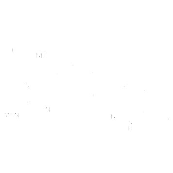 CCCNc1nc(NC)nc2cc(C3=NNC(=O)CC3C)ccc12